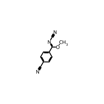 CO/C(=N\C#N)c1ccc(C#N)cc1